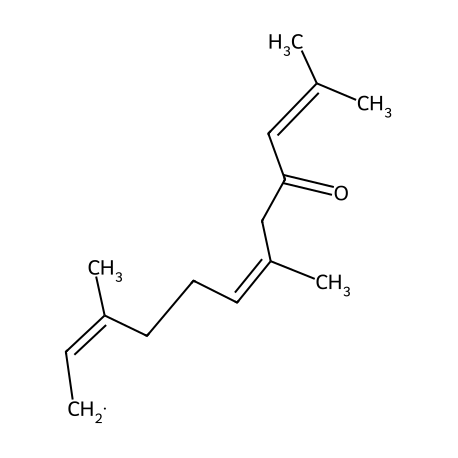 [CH2]C=C(C)CCC=C(C)CC(=O)C=C(C)C